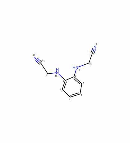 N#CCNc1ccccc1NCC#N